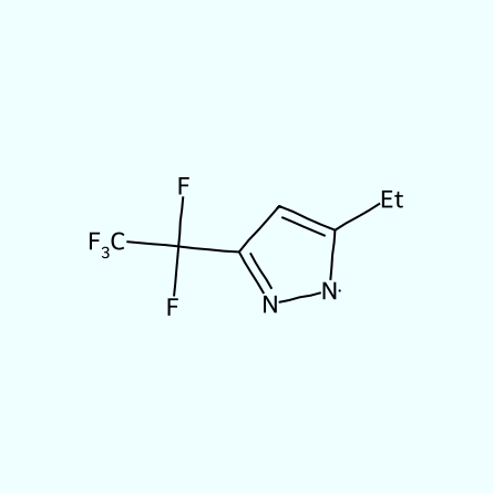 CCC1=CC(C(F)(F)C(F)(F)F)=N[N]1